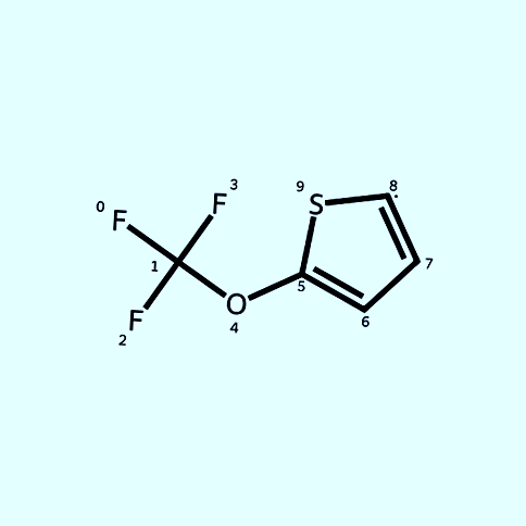 FC(F)(F)Oc1cc[c]s1